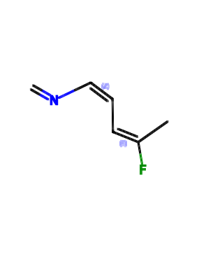 C=N/C=C\C=C(/C)F